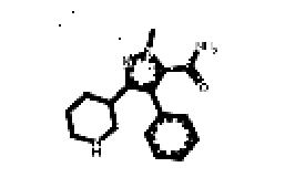 Cn1nc(C2CCCNC2)c(-c2ccccc2)c1C(N)=O